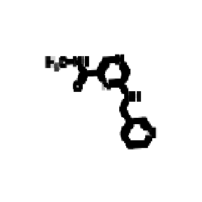 CNC(=O)c1cncc(NCc2cccnc2)n1